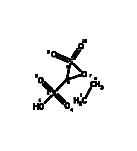 CC.O=S(=O)(O)C1OS1(=O)=O